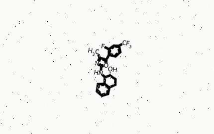 Cc1nc(NC2c3ccccc3CC[C@H]2O)oc1-c1ccc(C(F)(F)F)cc1F